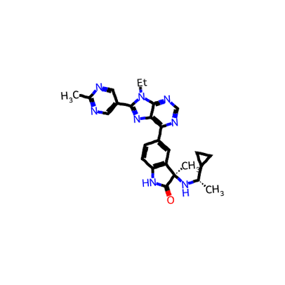 CCn1c(-c2cnc(C)nc2)nc2c(-c3ccc4c(c3)[C@@](C)(N[C@@H](C)C3CC3)C(=O)N4)ncnc21